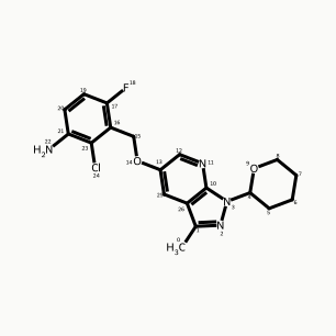 Cc1nn(C2CCCCO2)c2ncc(OCc3c(F)ccc(N)c3Cl)cc12